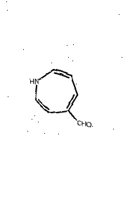 O=CC1=CC=CNC=C1